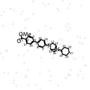 COC(=O)c1ccc(-c2ccc(N3CC4CC3CN4C3CCCCC3)cc2)cc1